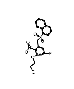 O=[N+]([O-])c1c(CS(=O)(=O)c2cccc3ccccc23)cc(F)cc1OCCCl